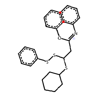 c1ccc(/N=C(/CC(SSc2ccccc2)SC2CCCCC2)Oc2ccccc2)cc1